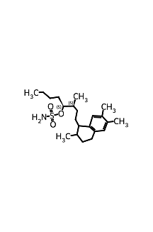 CCCC[C@H](OS(N)(=O)=O)[C@@H](C)CCC1c2cc(C)c(C)cc2CCC1C